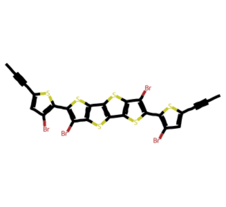 CC#Cc1cc(Br)c(-c2sc3c(sc4c5sc(-c6sc(C#CC)cc6Br)c(Br)c5sc34)c2Br)s1